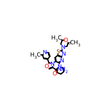 Cc1cc(C2OC=C(C(N)=O)N2c2cc3sc(N4C[C@@H](C)O[C@@H](C)C4)nc3nc2N2CCCCC2)ccn1